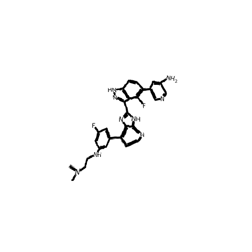 CN(C)CCNc1cc(F)cc(-c2ccnc3[nH]c(-c4n[nH]c5ccc(-c6cncc(N)c6)c(F)c45)nc23)c1